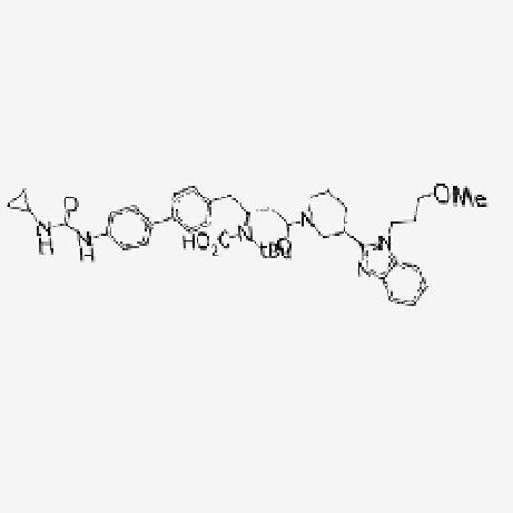 COCCCn1c([C@@H]2CCCN(C(=O)C[C@@H](Cc3ccc(-c4ccc(NC(=O)NC5CC5)cc4)cc3)N(C(=O)O)C(C)(C)C)C2)nc2ccccc21